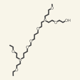 CCOCCN(CCCOCOCCCOCCN(CCCOC)CCOCCO)CCOCC